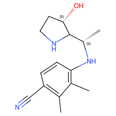 Cc1c(C#N)ccc(N[C@@H](C)C2NCC[C@@H]2O)c1C